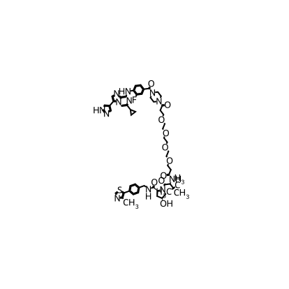 Cc1ncsc1-c1ccc(CNC(=O)[C@@H]2C[C@@H](O)CN2C(=O)[C@@H](NC(=O)CCOCCOCCOCCOCCC(=O)N2CCN(C(=O)c3ccc(Nc4nc(C5CC5)cn5c(-c6cn[nH]c6)cnc45)c(F)c3)CC2)C(C)(C)C)cc1